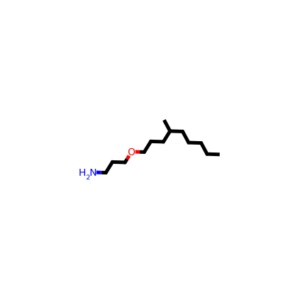 CCCCCC(C)CCCOCCCN